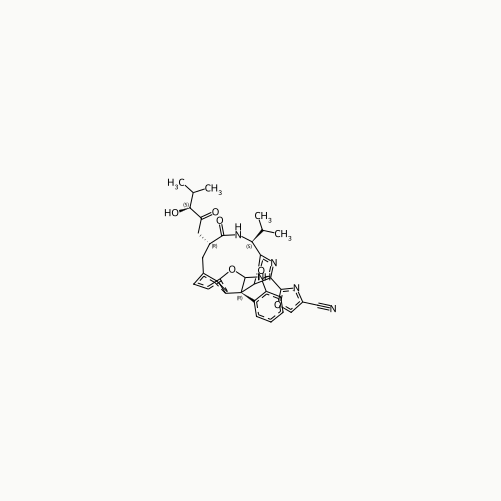 CC(C)[C@H](O)C(=O)C[C@H]1Cc2ccc3c(c2)[C@@]2(c4ccccc4NC2O3)c2oc(nc2-c2nc(C#N)co2)[C@H](C(C)C)NC1=O